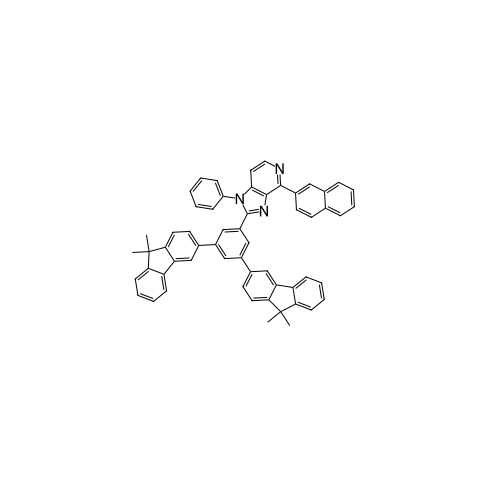 CC1(C)c2ccccc2-c2cc(-c3cc(-c4ccc5c(c4)-c4ccccc4C5(C)C)cc(-c4nc5c(-c6ccc7ccccc7c6)nccc5n4-c4ccccc4)c3)ccc21